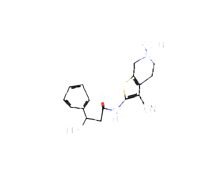 CC(CC(=O)Nc1sc2c(c1C#N)CCN(C(=O)O)C2)c1ccccc1